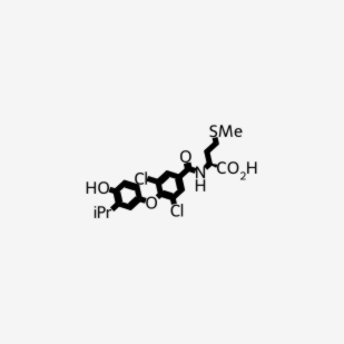 CSCC[C@H](NC(=O)c1cc(Cl)c(Oc2ccc(O)c(C(C)C)c2)c(Cl)c1)C(=O)O